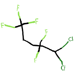 FC(F)(F)CC(F)(F)C(Cl)Cl